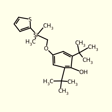 CC(C)(C)c1cc(OC[Si](C)(C)c2cccs2)cc(C(C)(C)C)c1O